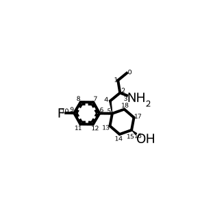 CCC(N)C[C@]1(c2ccc(F)cc2)CC[C@H](O)CC1